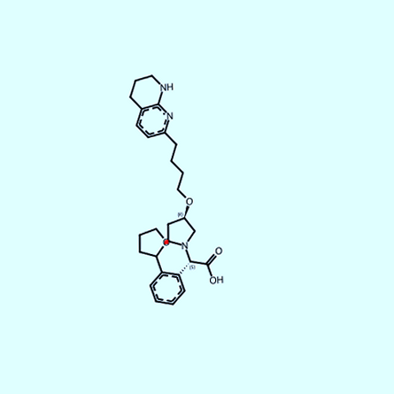 O=C(O)[C@H](c1ccccc1C1CCCO1)N1CC[C@@H](OCCCCc2ccc3c(n2)NCCC3)C1